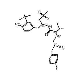 CC(C)[C@H](NC[C@@H](N)Cc1ccc(F)cc1)C(=O)N[C@@H](Cc1ccc(O)c(C(C)(C)C)c1)CS(C)(=O)=O